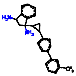 NC1CC(N)(C2CC2c2ccc(-c3cccc(C(F)(F)F)c3)cc2)c2ccccc21